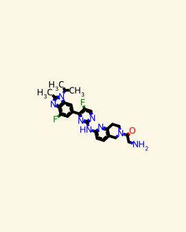 Cc1nc2c(F)cc(-c3nc(Nc4ccc5c(n4)CCN(C(=O)CN)C5)ncc3F)cc2n1C(C)C